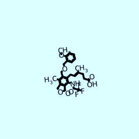 COc1ccccc1COCc1c(C)c2c(c(NC(=O)C(F)(F)F)c1C/C=C(\C)CCC(=O)O)C(=O)OC2